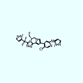 Cn1nccc1Nc1cc(-c2cc3n(c2)C[C@H](CF)n2c-3nnc2C(F)(F)c2ccnn2C)c(Cl)cn1